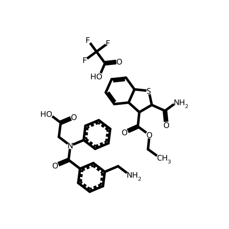 CCOC(=O)C1C(C(N)=O)SC2C=CC=CC21.NCc1cccc(C(=O)N(CC(=O)O)c2ccccc2)c1.O=C(O)C(F)(F)F